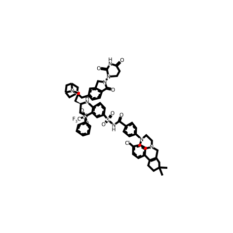 CC1(C)CCC(c2ccc(Cl)cc2)=C(CN2CCN(c3ccc(C(=O)NS(=O)(=O)c4ccc(N[C@H](CCN5C6CC5CN(Cc5ccc7c(c5)CN(N5CCC(=O)NC5=O)C7=O)C6)CSc5ccccc5)c(S(=O)(=O)C(F)(F)F)c4)cc3)CC2)C1